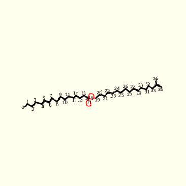 CCCCCCCCCCCCCCCCC(=O)OCCCCCCCCCCCCCCCC(C)C